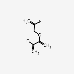 C=C(F)COC(=C)C(=C)F